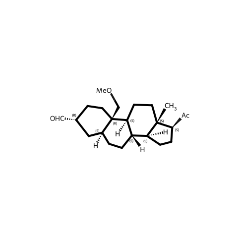 COC[C@]12CC[C@@H](C=O)C[C@@H]1CC[C@H]1[C@@H]3CC[C@H](C(C)=O)[C@@]3(C)CC[C@@H]12